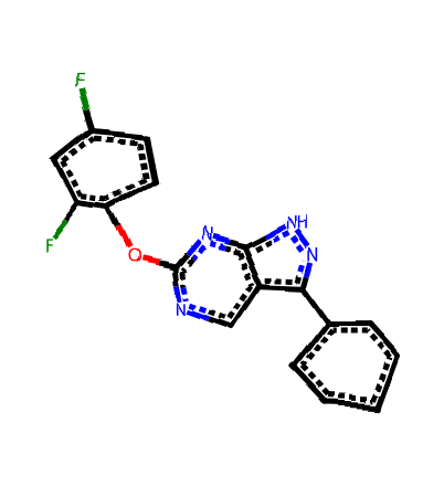 Fc1ccc(Oc2ncc3c(-c4ccccc4)n[nH]c3n2)c(F)c1